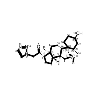 CC[C@H]1[C@@H]2CC[C@H](C(=O)Cn3ccnn3)[C@@]2(C)CC[C@@H]1[C@@]1(COC)CC[C@@H](O)C[C@@H]1C